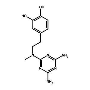 CN(CCc1ccc(O)c(O)c1)c1nc(N)nc(N)n1